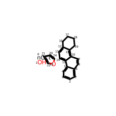 CCCCCCCCO.c1ccc2c(c1)ccc1c3c(ccc12)CCCC3.c1ccoc1